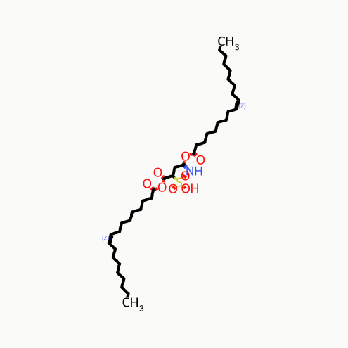 CCCCCCCC/C=C\CCCCCCCC(=O)OC(=N)CC(C(=O)OC(=O)CCCCCCC/C=C\CCCCCCCC)S(=O)(=O)O